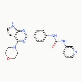 O=C(Nc1ccc(-c2nc(N3CCOCC3)c3cc[nH]c3n2)cc1)Nc1cccnc1